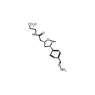 CN1O[C@H](CC(=O)NCCC(=O)O)C[C@@H]1c1ccc(C=NN)cc1